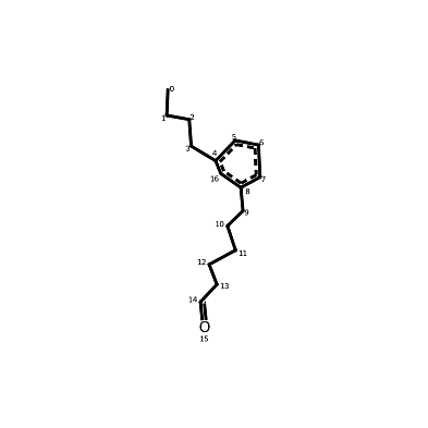 CCCCc1cccc(CCCCC[C]=O)c1